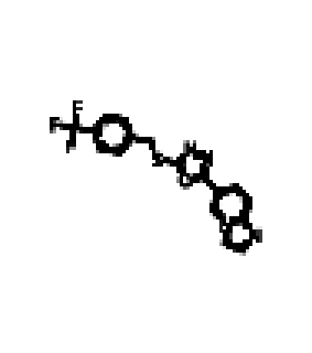 FC(F)(F)c1ccc(CSc2nnc(-c3ccc4nccn4c3)o2)cc1